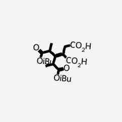 CC(C)COC(=O)C(C)C(=C(CC(=O)O)C(=O)O)C(C)C(=O)OCC(C)C